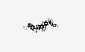 CC(C)n1c(=O)c(-c2ccc(NS(=O)(=O)CCC(F)(F)F)c(F)c2F)cc2cnc(N[C@H]3CC[C@H](N(C)C)CC3)nc21